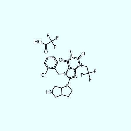 Cn1c(=O)c2c(nc(N3CCC4CNCC43)n2Cc2ccccc2Cl)n(CC(F)(F)F)c1=O.O=C(O)C(F)(F)F